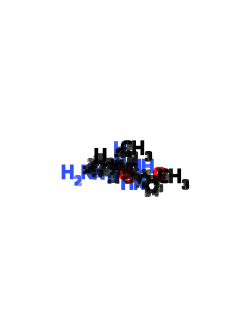 COc1cccc2[nH]c(C(=O)N[C@@H](CC(C)C)C(=O)N[C@H](C#N)Cc3ccc(N)nc3)cc12